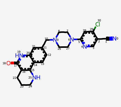 N#Cc1cnc(N2CCN(Cc3ccc4c5c(c(=O)[nH]c4c3)CCCN5)CC2)cc1Cl